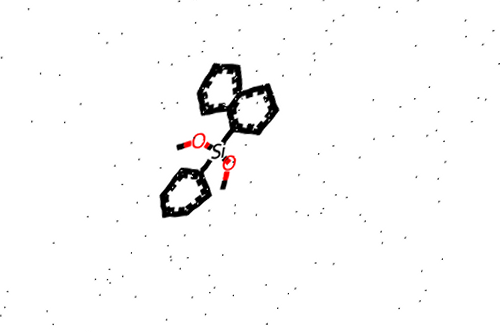 CO[Si](OC)(c1ccccc1)c1cccc2ccccc12